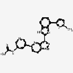 CCCCC(=O)Nc1cncc(-c2ccc3[nH]nc(-c4nc5c(-c6ccc(C)s6)cccc5[nH]4)c3n2)c1